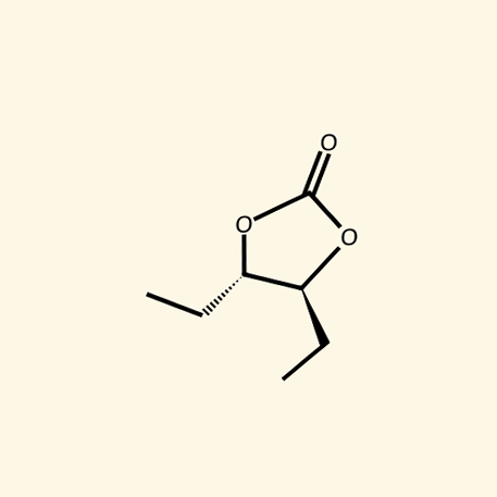 CC[C@@H]1OC(=O)O[C@H]1CC